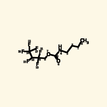 CCCCNC(=O)OCC(F)(F)C(F)C(F)(F)F